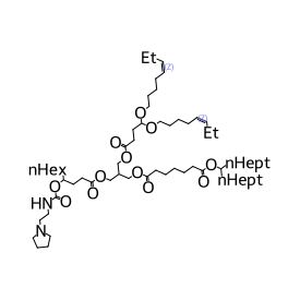 CC/C=C\CCCCOC(CCC(=O)OCC(COC(=O)CCCCCC(=O)OC(CCCCCCC)CCCCCCC)COC(=O)CCC(CCCCCC)OC(=O)NCCN1CCCC1)OCCCC/C=C\CC